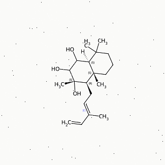 C=C/C(C)=C/C[C@@H]1[C@@]2(C)CCCC(C)(C)[C@@H]2C(O)C(O)[C@@]1(C)O